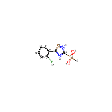 CS(=O)(=O)c1nsc(-c2ccccc2F)n1